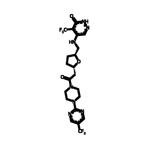 O=C(C[C@@H]1CC[C@@H](CNc2cn[nH]c(=O)c2C(F)(F)F)O1)N1CCN(c2ncc(C(F)(F)F)cn2)CC1